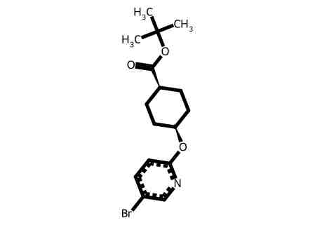 CC(C)(C)OC(=O)[C@H]1CC[C@@H](Oc2ccc(Br)cn2)CC1